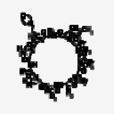 C/C=C/C[C@@H](C)CC1C(=O)NC(CC)C(=O)N(C)[C@H](SCCCN2CCOCC2)C(=O)N(C)[C@@H](C(C)C)C(=O)NC(C(C)C)C(=O)N(C)[C@@H](CC(C)C)C(=O)NC(C)C(=O)N[C@H](C)C(=O)N(C)[C@H](CC(C)C)C(=O)N(C)[C@H](CC(C)C)C(=O)N(C)[C@@H](C(C)C)C(=O)N1C